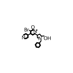 Cn1c(C2CC(CO)N(Cc3ccccc3)C2)cc(-c2ccncc2)c(Br)c1=O